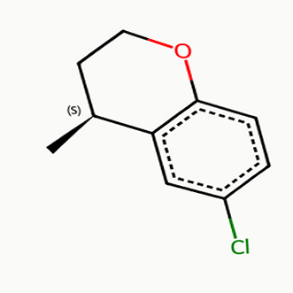 C[C@H]1CCOc2ccc(Cl)cc21